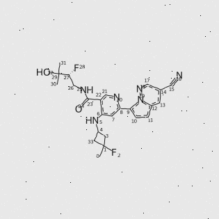 CC1(F)CC(Nc2cc(-c3ccc4cc(C#N)cnn34)ncc2C(=O)NC[C@@H](F)C(C)(C)O)C1